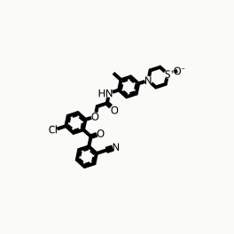 Cc1cc(N2CC[S+]([O-])CC2)ccc1NC(=O)COc1ccc(Cl)cc1C(=O)c1ccccc1C#N